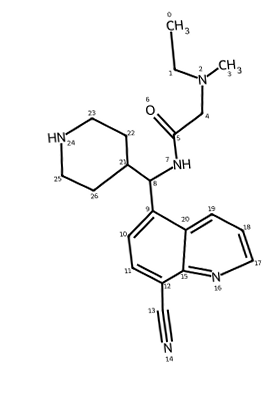 CCN(C)CC(=O)NC(c1ccc(C#N)c2ncccc12)C1CCNCC1